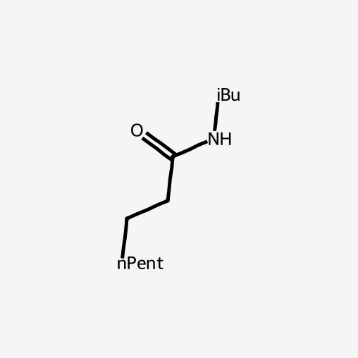 [CH2]CCCCCCC(=O)NC(C)CC